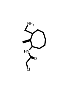 C=C1C(CN)CCCCCC1NC(=O)CCl